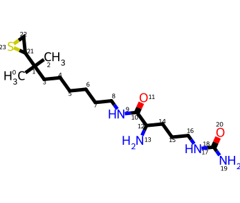 CC(C)(CCCCCCNC(=O)C(N)CCCNC(N)=O)C1CS1